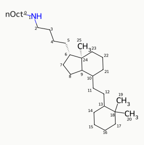 CCCCCCCCNCCCC[C@H]1CCC2C(CCC3CCCCC3(C)C)CCC[C@@]21C